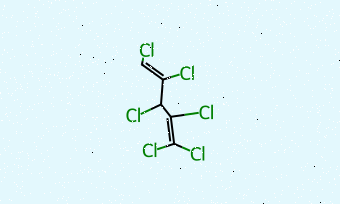 ClC=C(Cl)C(Cl)C(Cl)=C(Cl)Cl